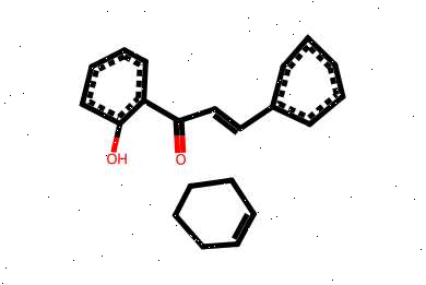 C1=CCCCC1.O=C(C=Cc1ccccc1)c1ccccc1O